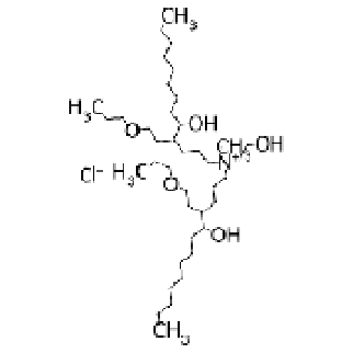 CCCCCCCCC(O)C(CCC[N+](C)(CCO)CCCC(CCOCCC)C(O)CCCCCCCC)CCOCCC.[Cl-]